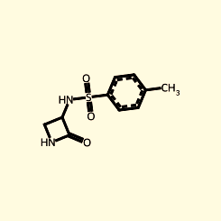 Cc1ccc(S(=O)(=O)NC2CNC2=O)cc1